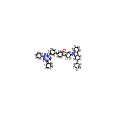 c1ccc(-c2ccc3c4ccccc4n(-c4ccc5c(c4)oc4cc(-c6cccc(-c7nc(-c8ccccc8)nc(-c8ccccc8)n7)c6)ccc45)c3c2)cc1